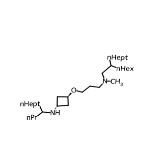 CCCCCCCC(CCCCCC)CN(C)CCCO[C@H]1C[C@H](NC(CCC)CCCCCCC)C1